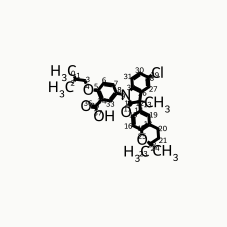 CC(C)COc1ccc(N2C(=O)[C@@](C)(c3ccc4c(c3)CCC(C)(C)O4)c3cc(Cl)ccc32)cc1C(=O)O